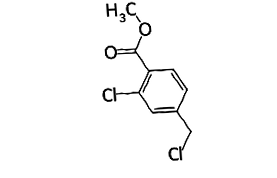 COC(=O)c1ccc(CCl)cc1Cl